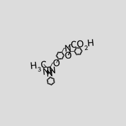 Cc1nn(-c2ccccc2)nc1COc1ccc(CN(CC(=O)O)C(=O)c2ccccc2)cc1